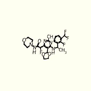 Cc1nc(NC(C)c2cccc(C(F)F)c2F)c(C2OCCO2)c(C(F)C(=O)NN2CCOCC2)n1